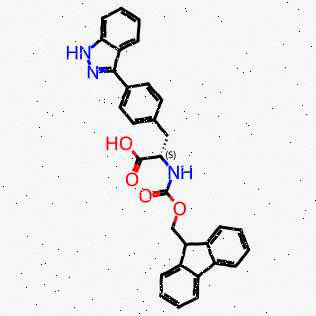 O=C(N[C@@H](Cc1ccc(-c2n[nH]c3ccccc23)cc1)C(=O)O)OCC1c2ccccc2-c2ccccc21